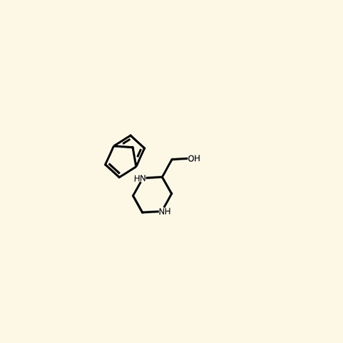 C1=CC2=CC=C1C2.OCC1CNCCN1